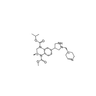 COC(=O)N1c2ccc(C3CNN(C[C@@H]4CC=NCC4)C3)cc2N(C(=O)OC(C)C)C[C@@H]1C